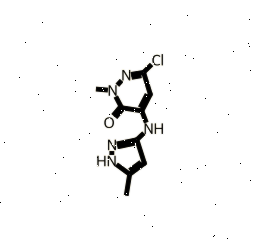 Cc1cc(Nc2cc(Cl)nn(C)c2=O)n[nH]1